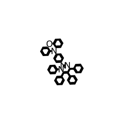 c1ccc(C2=NN(c3ccc(N4c5ccccc5Oc5ccccc54)cc3)N(c3ccccc3)C(c3ccccc3)=C2c2ccccc2)cc1